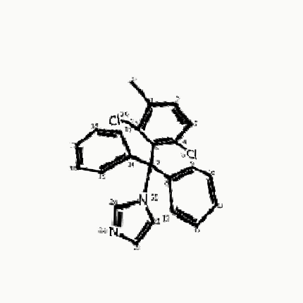 Cc1ccc(Cl)c(C(c2ccccc2)(c2ccccc2)n2ccnc2)c1Cl